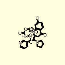 CC(C)(C)OC(=O)N[N+](C=O)(Cc1cccnc1)C1(C(=O)N2CCCC2)CC(=O)c2ccc(Cl)cc2N1